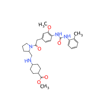 COC(=O)C1CCC(NCC2CCCN2C(=O)Cc2ccc(NC(=O)Nc3ccccc3C)c(OC)c2)CC1